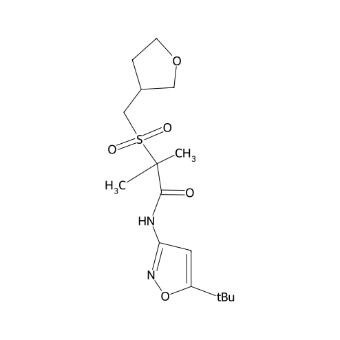 CC(C)(C)c1cc(NC(=O)C(C)(C)S(=O)(=O)CC2CCOC2)no1